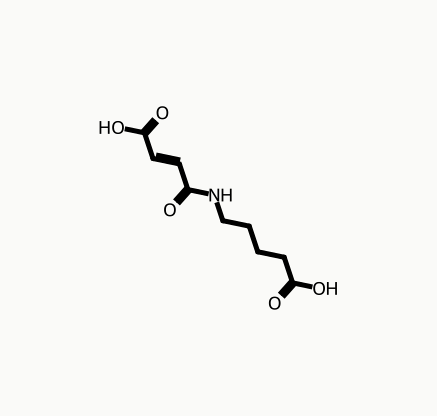 O=C(O)C=CC(=O)NCCCCC(=O)O